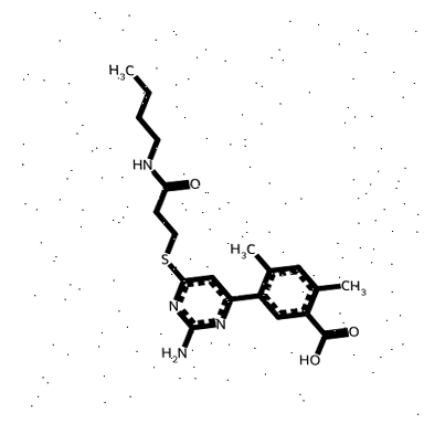 CCCCNC(=O)CCSc1cc(-c2cc(C(=O)O)c(C)cc2C)nc(N)n1